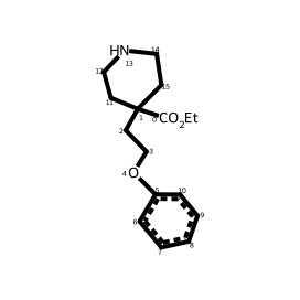 CCOC(=O)C1(CCOc2ccccc2)CCNCC1